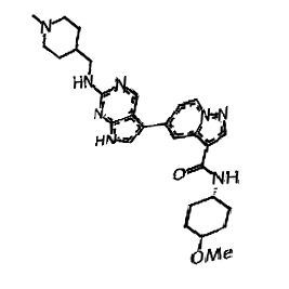 CO[C@H]1CC[C@H](NC(=O)c2cnn3ccc(-c4c[nH]c5nc(NCC6CCN(C)CC6)ncc45)cc23)CC1